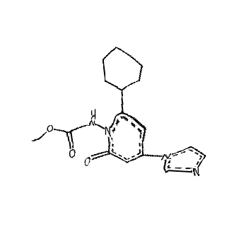 COC(=O)Nn1c(C2CCCCC2)cc(-n2ccnc2)cc1=O